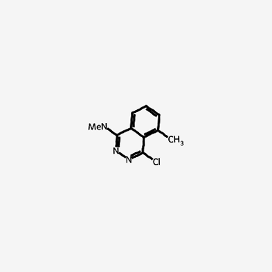 CNc1nnc(Cl)c2c(C)cccc12